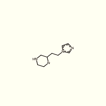 c1cn(CCC2CNCC[N]2)cn1